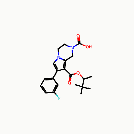 CC(OC(=O)c1c(-c2cccc(F)c2)cn2c1CN(C(=O)O)CC2)C(C)(C)C